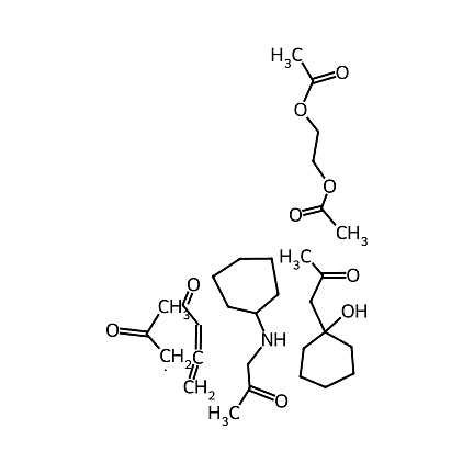 C=C=CC=O.CC(=O)CC1(O)CCCCC1.CC(=O)CNC1CCCCC1.CC(=O)OCCOC(C)=O.[CH2]C(C)=O